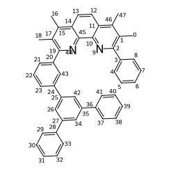 Cc1c(-c2ccccc2)nc2c(ccc3c(C)c(C)c(-c4cccc(-c5cc(-c6ccccc6)cc(-c6ccccc6)c5)c4)nc32)c1C